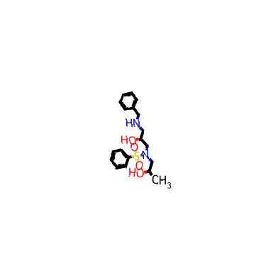 CC(O)CN(CC(O)CNCc1ccccc1)S(=O)(=O)c1ccccc1